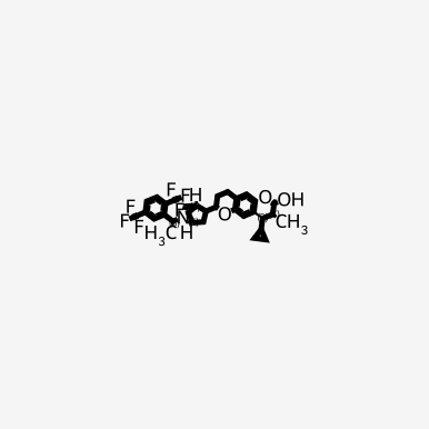 C[C@H](C(=O)O)[C@H](c1ccc2c(c1)OC(C1C[C@@H]3C[C@@H]1CN3[C@@H](C)c1cc(C(F)(F)F)ccc1C(F)(F)F)CC2)C1CC1